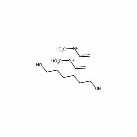 C=CNC(=O)O.C=CNC(=O)O.OCCCCCCO